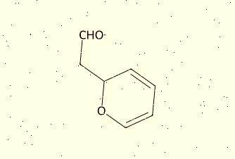 O=[C]CC1C=CC=CO1